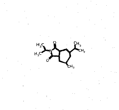 CC1CC(C(C)C)CC2C(=O)N(C(C)C)C(=O)C2C1